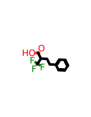 O=C(O)C(CCc1ccccc1)C(F)(F)F